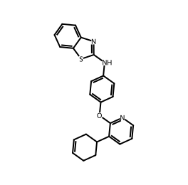 C1=CCC(c2cccnc2Oc2ccc(Nc3nc4ccccc4s3)cc2)CC1